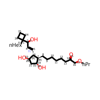 CCCCCCC1(C(O)/C=C/[C@@H]2[C@@H](CCCCCCC(=O)COCCC)[C@@H](O)C[C@H]2O)CCC1